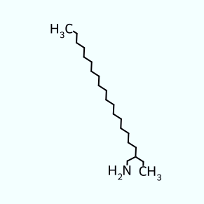 CCCCCCCCCCCCCCCCCCC(CC)CN